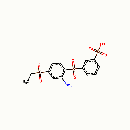 CCS(=O)(=O)c1ccc(S(=O)(=O)c2cccc(S(=O)(=O)O)c2)c(N)c1